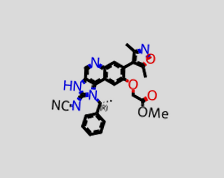 COC(=O)COc1cc2c(cc1-c1c(C)noc1C)ncc1[nH]c(=NC#N)n([C@H](C)c3ccccc3)c12